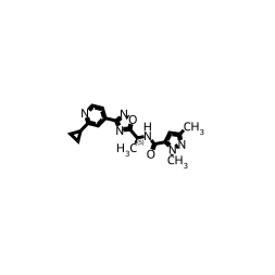 Cc1cc(C(=O)N[C@@H](C)c2nc(-c3ccnc(C4CC4)c3)no2)n(C)n1